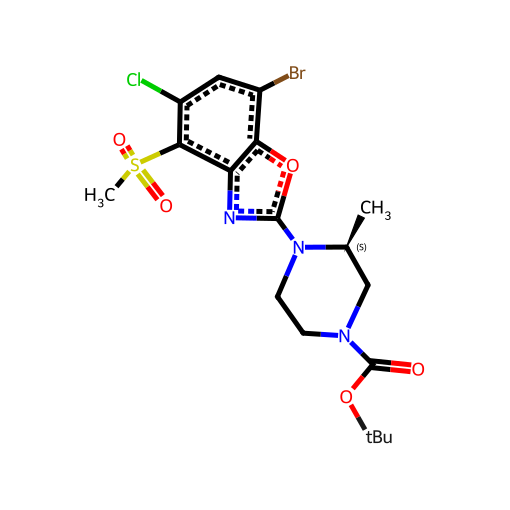 C[C@H]1CN(C(=O)OC(C)(C)C)CCN1c1nc2c(S(C)(=O)=O)c(Cl)cc(Br)c2o1